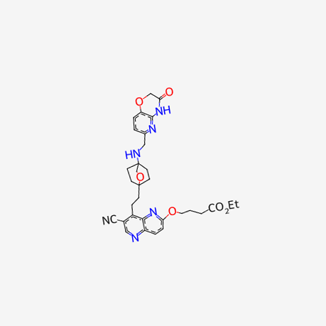 CCOC(=O)CCCOc1ccc2ncc(C#N)c(CCC34CCC(NCc5ccc6c(n5)NC(=O)CO6)(CC3)CO4)c2n1